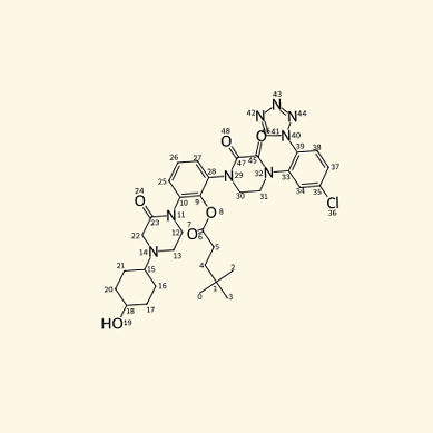 CC(C)(C)CCC(=O)Oc1c(N2CCN(C3CCC(O)CC3)CC2=O)cccc1N1CCN(c2cc(Cl)ccc2-n2cnnn2)C(=O)C1=O